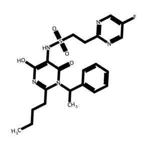 CCCCc1nc(O)c(NS(=O)(=O)CCc2ncc(F)cn2)c(=O)n1C(C)c1ccccc1